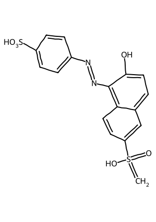 C=S(=O)(O)c1ccc2c(/N=N/c3ccc(S(=O)(=O)O)cc3)c(O)ccc2c1